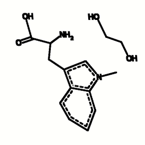 Cn1cc(CC(N)C(=O)O)c2ccccc21.OCCO